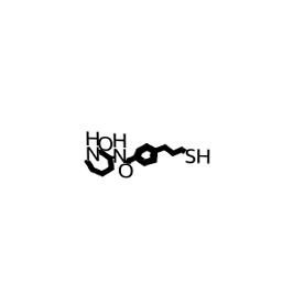 O=C(N[C@H]1CCCCNC1=O)c1ccc(CCCS)cc1